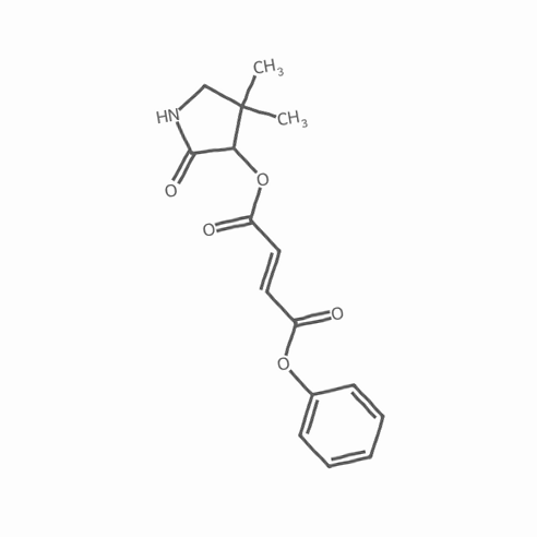 CC1(C)CNC(=O)C1OC(=O)/C=C/C(=O)Oc1ccccc1